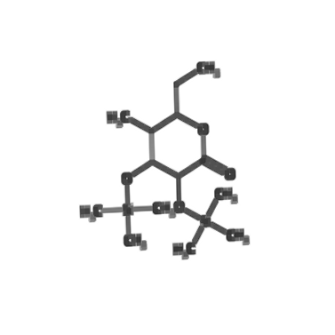 CCC1OC(=O)C(O[Si](C)(C)C)C(O[Si](C)(C)C)C1C